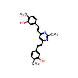 COc1nc(/C=C/c2ccc(OC)c(O)c2)cc(/C=C/c2ccc(OC)c(O)c2)n1